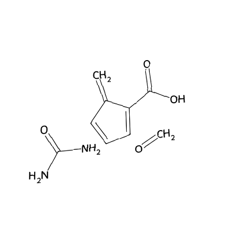 C=C1C=CC=C1C(=O)O.C=O.NC(N)=O